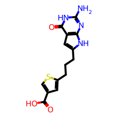 Nc1nc2[nH]c(CCCc3cc(C(=O)O)cs3)cc2c(=O)[nH]1